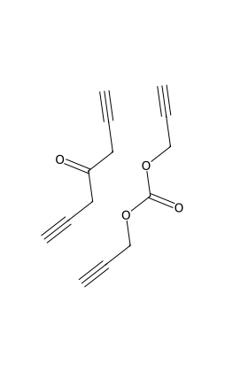 C#CCC(=O)CC#C.C#CCOC(=O)OCC#C